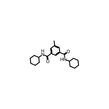 Cc1cc(C(=O)NC2CCCCC2)cc(C(=O)NC2CCCCC2)c1